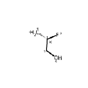 [CH2][C@H](F)CO